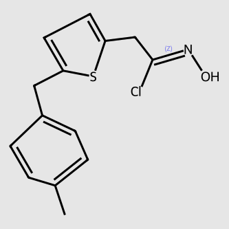 Cc1ccc(Cc2ccc(C/C(Cl)=N/O)s2)cc1